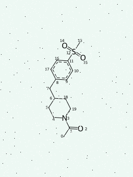 CC(=O)N1CCC(Cc2ccc(S(C)(=O)=O)cc2)CC1